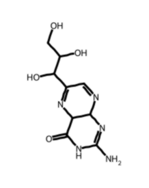 NC1=NC2N=CC(C(O)C(O)CO)=NC2C(=O)N1